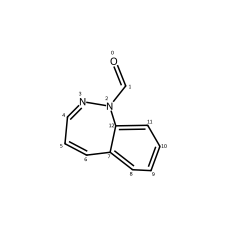 O=CN1N=CC=Cc2ccccc21